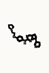 c1cncc(-c2ccc3cnc(Nc4ccc(OCCN5CCCC5)cc4)nn23)c1